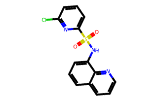 O=S(=O)(Nc1cccc2cccnc12)c1cccc(Cl)n1